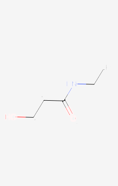 CC(C)CNC(=O)CCO